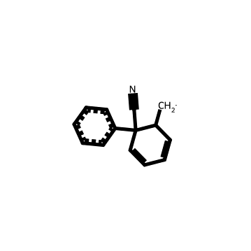 [CH2]C1C=CC=CC1(C#N)c1ccccc1